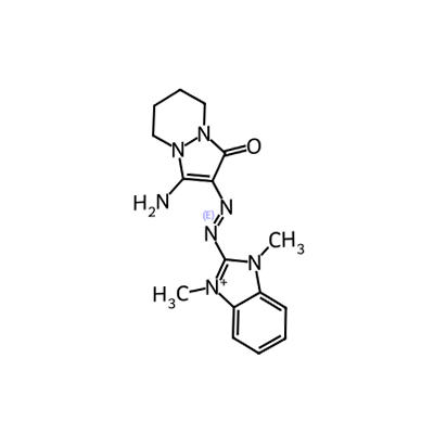 Cn1c(/N=N/c2c(N)n3n(c2=O)CCCC3)[n+](C)c2ccccc21